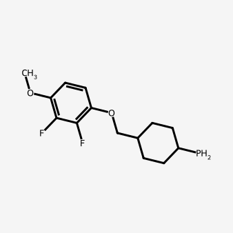 COc1ccc(OCC2CCC(P)CC2)c(F)c1F